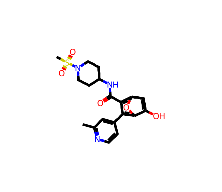 Cc1cc(-c2c(C(=O)NC3CCN(S(C)(=O)=O)CC3)c3cc(O)c2o3)ccn1